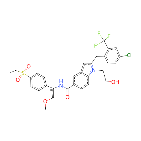 CCS(=O)(=O)c1ccc([C@H](COC)NC(=O)c2ccc3c(c2)cc(Cc2ccc(Cl)cc2C(F)(F)F)n3CCO)cc1